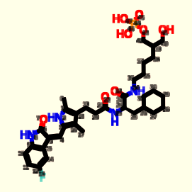 Cc1[nH]c(/C=C2\C(=O)Nc3ccc(F)cc32)c(C)c1CCC(=O)N[C@H](CC1CCCCC1)C(=O)NCCCCC(CO)COP(=O)(O)O